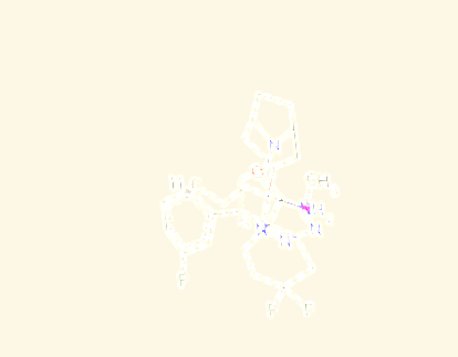 CCCC1(C2CC3CCC(C2)N3CC[C@@H](c2cccc(F)c2)C2(C(N)=O)CCC(F)(F)CC2)N=NN=C1C